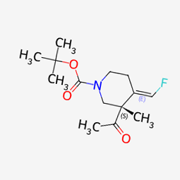 CC(=O)[C@]1(C)CN(C(=O)OC(C)(C)C)CC/C1=C\F